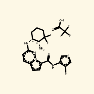 N[C@@H]1[C@H](Nc2ccc3ccc(C(=O)Nc4cscc4Br)n3n2)CCCC1(F)F.O=C(O)C(F)(F)F